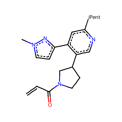 C=CC(=O)N1CCC(c2cnc(C(C)CCC)cc2-c2ccn(C)n2)C1